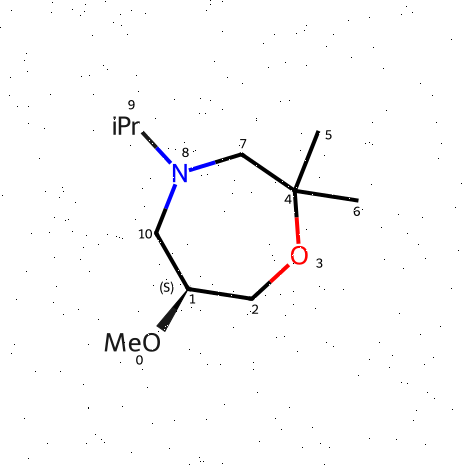 CO[C@@H]1COC(C)(C)CN(C(C)C)C1